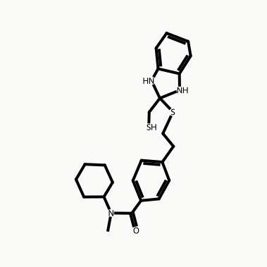 CN(C(=O)c1ccc(CCSC2(CS)Nc3ccccc3N2)cc1)C1CCCCC1